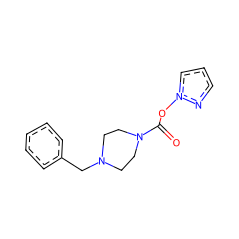 O=C(On1cccn1)N1CCN(Cc2ccccc2)CC1